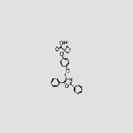 O=C(O)C1(Oc2ccc(OCc3nc(-c4ccccc4)oc3-c3ccccc3)cc2)CCC1